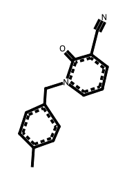 Cc1ccc(Cn2cccc(C#N)c2=O)cc1